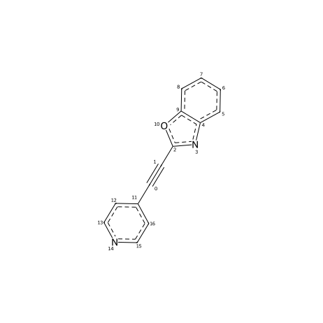 C(#Cc1nc2ccccc2o1)c1ccncc1